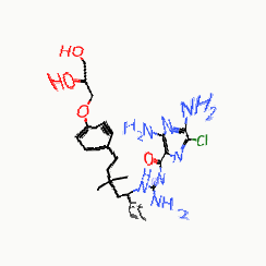 CCC(CC(C)(C)CCc1ccc(OCC(O)CO)cc1)N/C(N)=N\C(=O)c1nc(Cl)c(N)nc1N